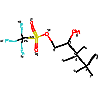 CC(C)(C)[Si](C)(C)C(O)COS(=O)(=O)C(F)(F)F